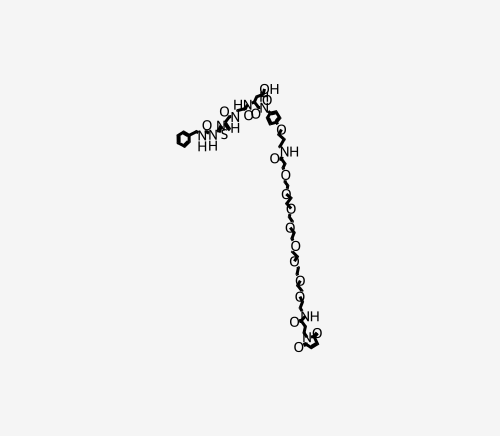 O=C(O)CC(NC(=O)CNC(=O)c1csc(NC(=O)NCc2ccccc2)n1)C(=O)Nc1ccc(OCCCNC(=O)CCOCCOCCOCCOCCOCCOCCOCCOCCNC(=O)CCN2C(=O)C=CC2=O)cc1